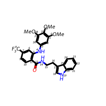 COc1cc(Nc2cc(C(F)(F)F)ccc2C(=O)NCCc2c[nH]c3ccccc23)cc(OC)c1OC